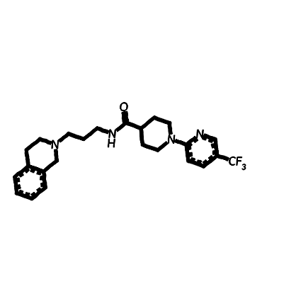 O=C(NCCCN1CCc2ccccc2C1)C1CCN(c2ccc(C(F)(F)F)cn2)CC1